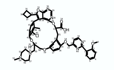 COc1ccccc1-c1nccc(COc2ccc3cc2CC(C(=O)O)Oc2ncnc4oc(C5CCC5)c(c24)-c2ccc(c(Cl)c2C)O[C@H](CN2CCN(C)CC2)CO3)n1